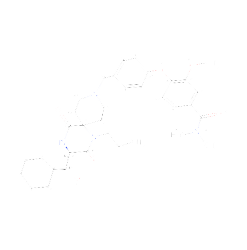 CCCN1C(=O)[C@@H]([C@H](O)C2CCCCC2)NC(=O)C12CCN(Cc1ccc(Oc3ccc(C(=O)N(C)C)cc3OC)cc1)CC2